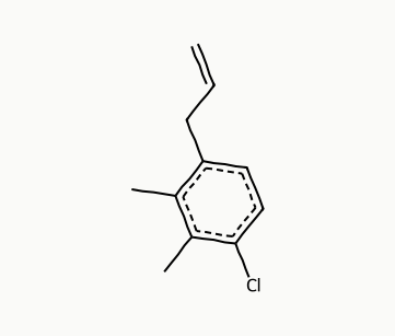 C=CCc1ccc(Cl)c(C)c1C